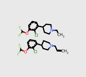 C=CCN1CCC(c2cccc(OC(F)F)c2Cl)CC1.CCN1CCC(c2cccc(OC(F)F)c2Cl)CC1